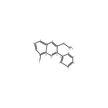 NCc1cc2cccc(F)c2nc1-c1ccccc1